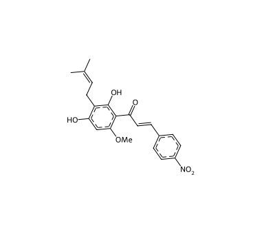 COc1cc(O)c(CC=C(C)C)c(O)c1C(=O)C=Cc1ccc([N+](=O)[O-])cc1